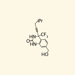 CC(C)CC#CC1(C(F)(F)F)NC(=O)Nc2cc(CO)ccc21